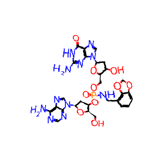 Nc1nc2c(ncn2[C@H]2CC(O)[C@@H](COP(=O)(NCc3cccc4c3OCO4)OC3C[C@H](n4cnc5c(N)ncnc54)O[C@@H]3CO)O2)c(=O)[nH]1